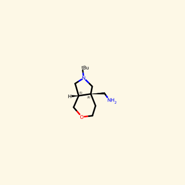 CC(C)(C)N1C[C@H]2COCC[C@@]2(CN)C1